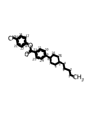 CCCCCC1CCC(c2ccc(C(=O)Oc3ccc(Cl)cc3)cc2)CC1